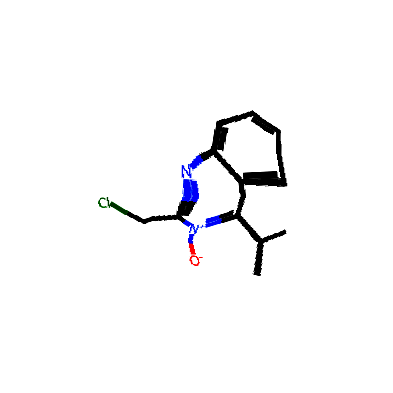 CC(C)c1c2ccccc2nc(CCl)[n+]1[O-]